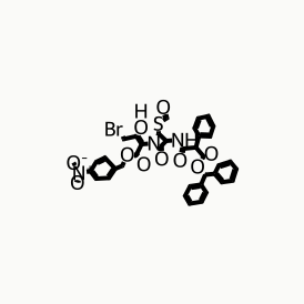 O=CSC1C(NC(=O)C(C(=O)OC(c2ccccc2)c2ccccc2)c2ccccc2)C(=O)N1C(C(=O)OCc1ccc([N+](=O)[O-])cc1)=C(O)CBr